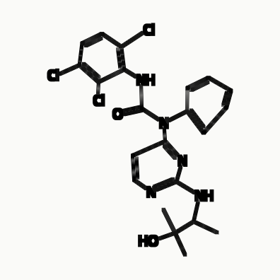 CC(Nc1nccc(N(C(=O)Nc2c(Cl)ccc(Cl)c2Cl)c2ccccc2)n1)C(C)(C)O